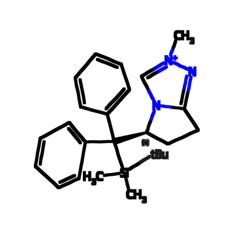 C[n+]1cn2c(n1)CC[C@H]2C(c1ccccc1)(c1ccccc1)[Si](C)(C)C(C)(C)C